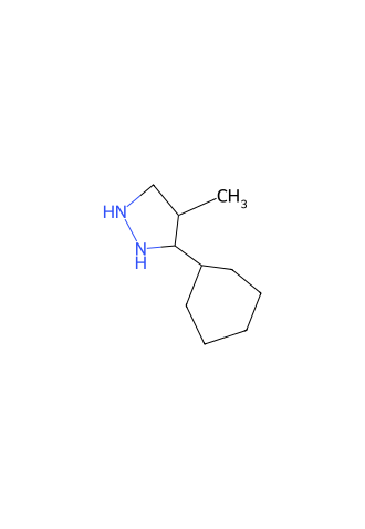 CC1CNNC1C1CCCCC1